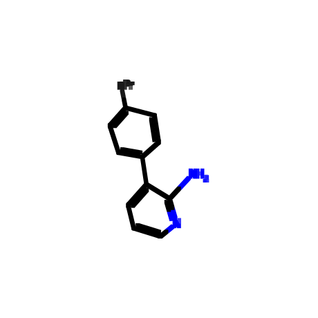 CCCc1ccc(-c2cccnc2N)cc1